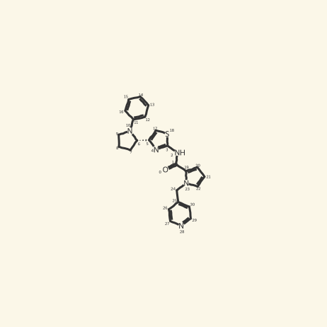 O=C(Nc1nc([C@@H]2CCCN2c2ccccc2)cs1)c1cccn1Cc1ccncc1